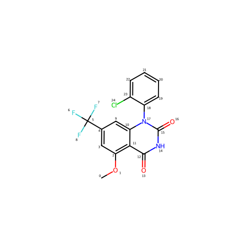 COc1cc(C(F)(F)F)cc2c1c(=O)[nH]c(=O)n2-c1ccccc1Cl